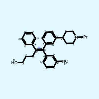 CC(C)N1CCC(c2cccc(/C(=C(/CCCO)c3ccccc3)c3cccc(N=O)c3)c2)CC1